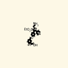 CCOC(=O)c1c(-c2ccc(OCc3ccc(C(C)C)c(CCO)c3)cc2)c(-c2ccncc2)nn1CCN